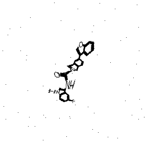 O=C(Nc1c[nH]c2ccc(F)cc12)N1Cc2ccc(-c3coc4ccccc34)cc2C1